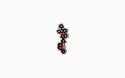 c1ccc(-c2c3ccccc3c(-c3ccc(-c4ccc5oc6c(ccc7ccc8c9ccccc9oc8c76)c5c4)c4ccccc34)c3ccccc23)cc1